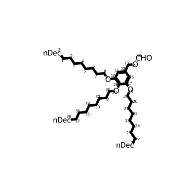 CCCCCCCCCCCCCCCCCCOc1cc(COC=O)cc(OCCCCCCCCCCCCCCCCCC)c1OCCCCCCCCCCCCCCCCCC